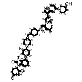 Cn1c(=O)n(C2CCC(=O)NC2=O)c2cccc(N3CCC(N4CCN(CC5CCC(n6cc(-n7cc(-c8cnn9ccc(N%10CCC[C@H](O)C%10)nc89)nn7)c(C(F)F)n6)CC5)CC4)[C@@H](F)C3)c21